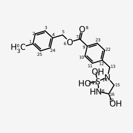 Cc1ccc(COC(=O)c2ccc(CN3CC(O)NS3(O)O)cc2)cc1